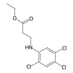 CCOC(=O)CCNc1cc(Cl)c(Cl)cc1Cl